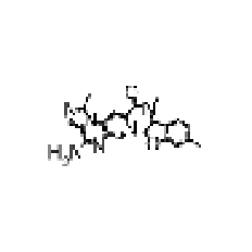 Cc1ncc2c(N)nc3cnc(C(=O)N(C)[C@@H]4COc5cc(I)ccc54)cc3n12